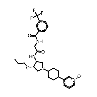 CCCO[C@H]1CN(C2CCC(c3ccc[n+]([O-])c3)CC2)C[C@@H]1NC(=O)CNC(=O)c1cccc(C(F)(F)F)c1